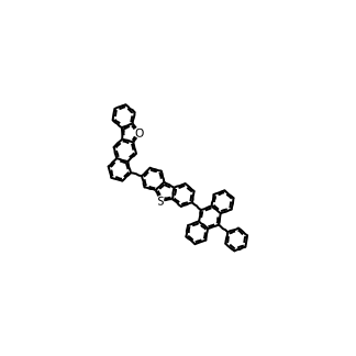 c1ccc(-c2c3ccccc3c(-c3ccc4c(c3)sc3cc(-c5cccc6cc7c(cc56)oc5ccccc57)ccc34)c3ccccc23)cc1